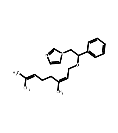 CC(C)=CCCC(C)=CCOC(Cn1ccnc1)c1ccccc1